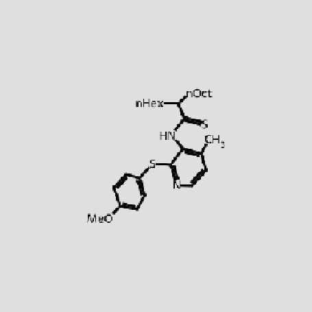 CCCCCCCCC(CCCCCC)C(=S)Nc1c(C)ccnc1Sc1ccc(OC)cc1